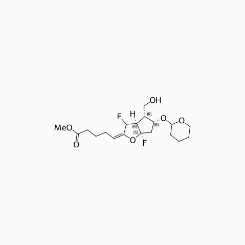 COC(=O)CCCC=C1O[C@]2(F)C[C@@H](OC3CCCCO3)[C@@H](CO)[C@@H]2C1F